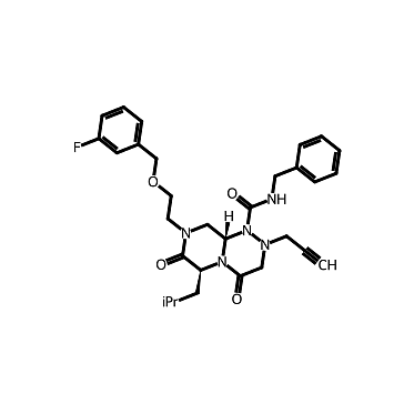 C#CCN1CC(=O)N2[C@@H](CC(C)C)C(=O)N(CCOCc3cccc(F)c3)C[C@@H]2N1C(=O)NCc1ccccc1